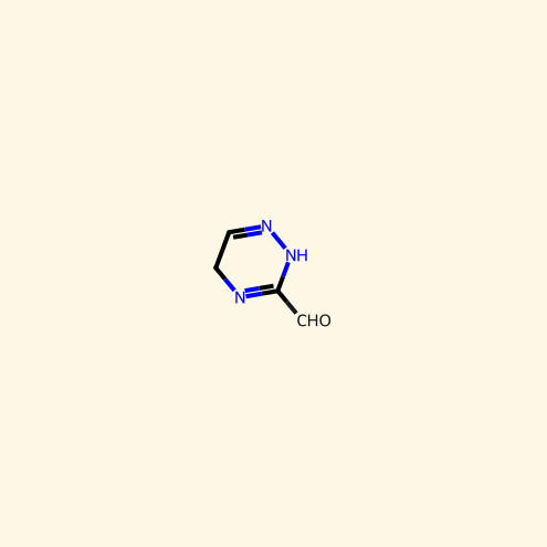 O=CC1=NCC=NN1